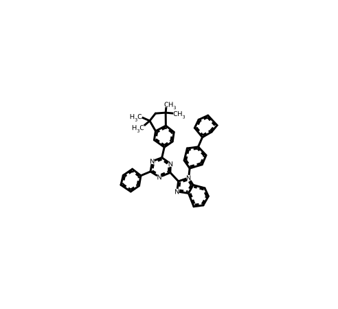 CC1(C)CC(C)(C)c2cc(-c3nc(-c4ccccc4)nc(-c4nc5ccccc5n4-c4ccc(-c5ccccc5)cc4)n3)ccc21